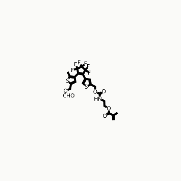 C=C(C)C(=O)OCCNC(=O)OCc1cc(C2=C(c3cc(COC=O)sc3C)C(F)(F)C(F)(F)C2(F)F)cs1